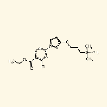 CCOC(=O)c1ccc(-n2ccc(OCCC[Si](C)(C)C)n2)nc1Cl